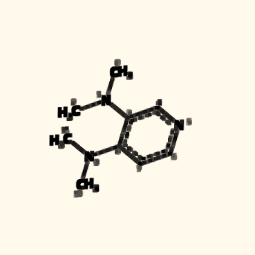 CN(C)c1[c]nccc1N(C)C